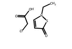 CCn1ccc(=O)s1.O=C(O)CCl